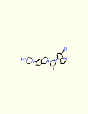 C[C@H]1C[C@@H](N2CCc3cc(N4CCNCC4)ccc3C2)CN(c2ccc(C#N)c3ncccc23)C1